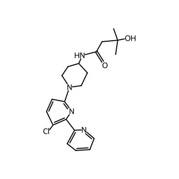 CC(C)(O)CC(=O)NC1CCN(c2ccc(Cl)c(-c3ccccn3)n2)CC1